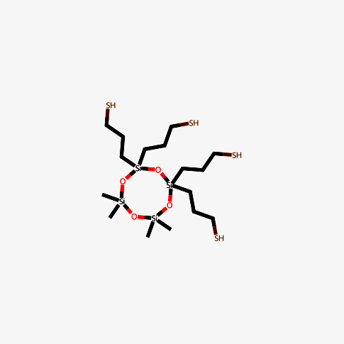 C[Si]1(C)O[Si](C)(C)O[Si](CCCS)(CCCS)O[Si](CCCS)(CCCS)O1